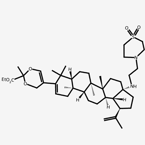 C=C(C)[C@@H]1CC[C@]2(NCCN3CCS(=O)(=O)CC3)CC[C@]3(C)[C@H](CC[C@@H]4[C@@]5(C)CC=C(C6=COC(C)(C(=O)OCC)OC6)C(C)(C)[C@@H]5CC[C@]43C)[C@@H]12